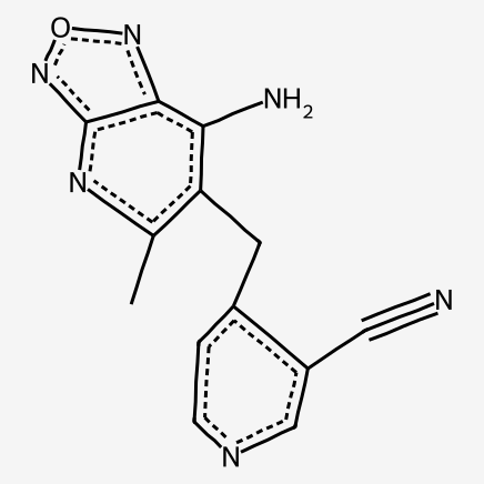 Cc1nc2nonc2c(N)c1Cc1ccncc1C#N